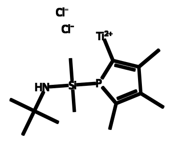 Cc1c(C)[c]([Ti+2])p([Si](C)(C)NC(C)(C)C)c1C.[Cl-].[Cl-]